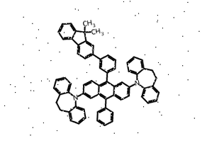 CC1(C)c2ccccc2-c2ccc(-c3cccc(-c4c5ccc(N6c7ccccc7CCc7ccccc76)cc5c(-c5ccccc5)c5ccc(N6c7ccccc7CCc7ccccc76)cc45)c3)cc21